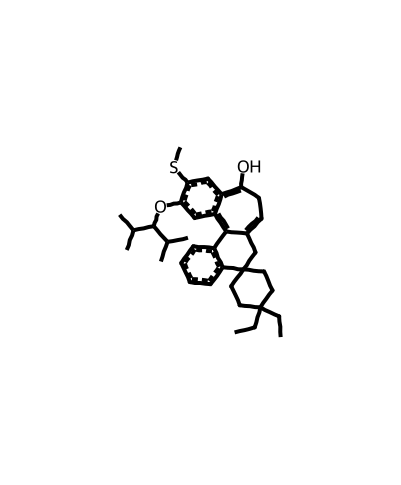 CCC1(CC)CCC2(CC1)CC1=CCC(O)=c3cc(SC)c(OC(C(C)C)C(C)C)cc3=C1c1ccccc12